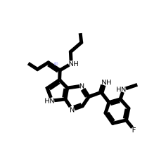 CC/C=C(/NCCC)c1c[nH]c2ncc(C(=N)c3ccc(F)cc3NC)nc12